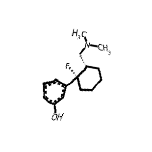 CN(C)C[C@@H]1CCCC[C@@]1(F)c1cccc(O)c1